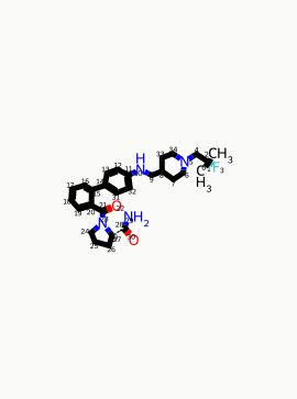 CC(C)(F)CN1CCC(CNc2ccc(-c3ccccc3C(=O)N3CCC[C@H]3C(N)=O)cc2)CC1